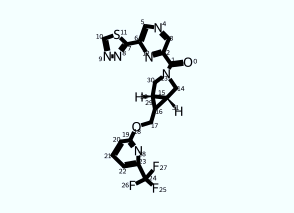 O=C(c1cncc(-c2nncs2)n1)N1C[C@@H]2C(COc3cccc(C(F)(F)F)n3)[C@@H]2C1